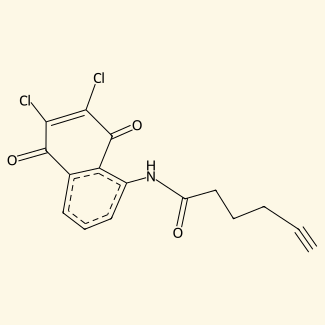 C#CCCCC(=O)Nc1cccc2c1C(=O)C(Cl)=C(Cl)C2=O